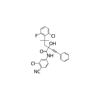 CC(C)(CC(O)(C#Cc1ccccc1)C(=O)Nc1ccc(C#N)c(Cl)c1)c1c(F)cccc1Cl